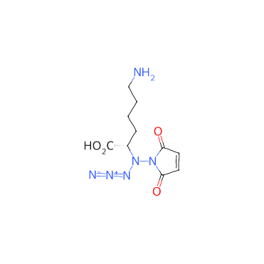 [N-]=[N+]=NN([C@@H](CCCCN)C(=O)O)N1C(=O)C=CC1=O